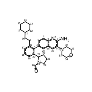 Nc1nc2ccc(-c3c(CCC4CCCCC4)cccc3C3CCCN3C=O)cc2cc1N1CCOCC1